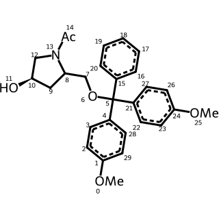 COc1ccc(C(OCC2C[C@@H](O)CN2C(C)=O)(c2ccccc2)c2ccc(OC)cc2)cc1